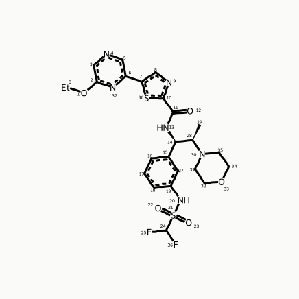 CCOc1cncc(-c2cnc(C(=O)N[C@H](c3cccc(NS(=O)(=O)C(F)F)c3)[C@@H](C)N3CCOCC3)s2)n1